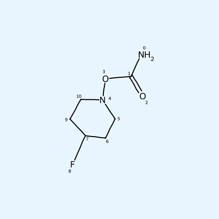 NC(=O)ON1CCC(F)CC1